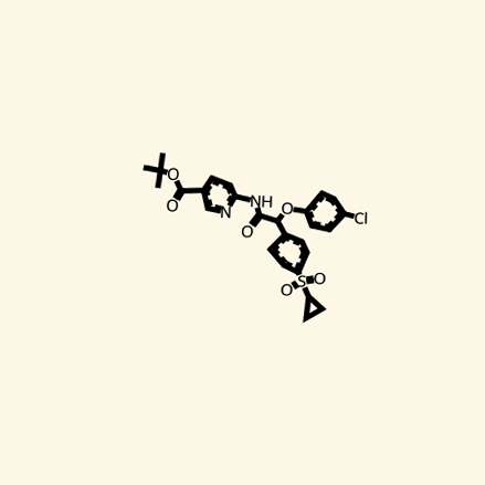 CC(C)(C)OC(=O)c1ccc(NC(=O)C(Oc2ccc(Cl)cc2)c2ccc(S(=O)(=O)C3CC3)cc2)nc1